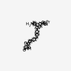 CCCS(=O)(=O)Nc1cccc(-c2nc(C3CCC4(CC3)CCN(CC3CCN(c5ccc6c(c5)CN([C@@H]5CCC(=O)NC5=O)C6=O)CC3)CC4)sc2-c2ccnc(N)n2)c1F